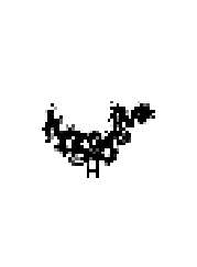 Cc1csc(-c2ccc(S(=O)(=O)N[C@H]3CCCN(CC(=O)N4CCC[C@H]4CN4CCCC4)C3=O)cc2)c1